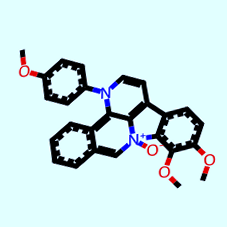 COc1ccc(N2C=CC3=C4C2=c2ccccc2=C[N+]4([O-])c2c3ccc(OC)c2OC)cc1